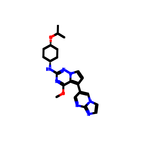 COc1nc(N[C@H]2CC[C@@H](OC(C)C)CC2)nn2ccc(-c3cnc4nccn4c3)c12